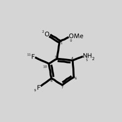 COC(=O)c1c(N)ccc(F)c1F